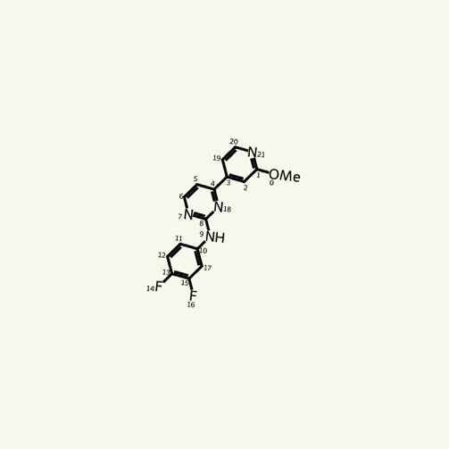 COc1cc(-c2ccnc(Nc3ccc(F)c(F)c3)n2)ccn1